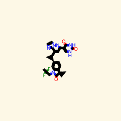 CC(F)(F)CN1C(=O)C2(CC2)c2ccc([C@H]3CC3c3cc(-c4c[nH]c(=O)[nH]c4=O)nn4ccnc34)cc21